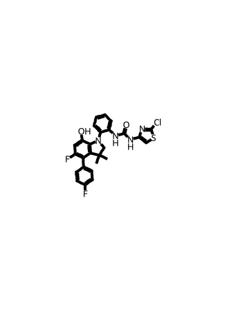 CC1(C)CN(c2ccccc2NC(=O)Nc2csc(Cl)n2)c2c(O)cc(F)c(-c3ccc(F)cc3)c21